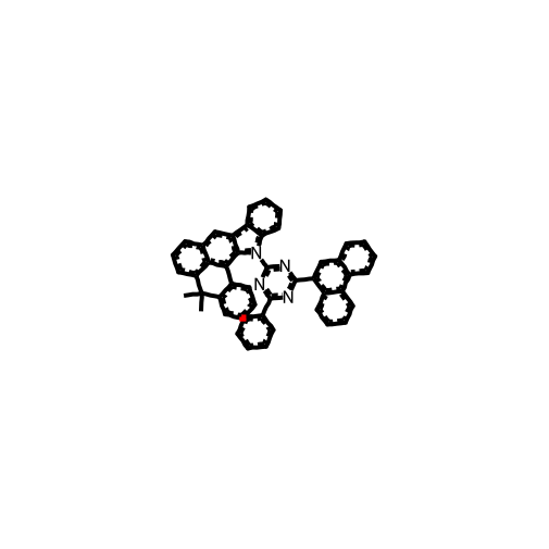 CC1(C)c2ccccc2-c2c3c1cccc3cc1c3ccccc3n(-c3nc(-c4ccccc4)nc(-c4cc5ccccc5c5ccccc45)n3)c21